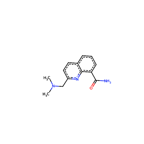 CN(C)Cc1ccc2cccc(C(N)=O)c2n1